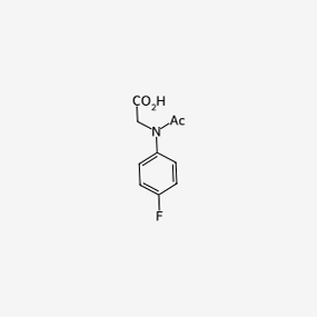 CC(=O)N(CC(=O)O)c1ccc(F)cc1